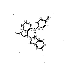 Cn1cc(-c2nc3ccccc3[nH]2)c2c(Nc3ccc(Br)cc3)ncnc21